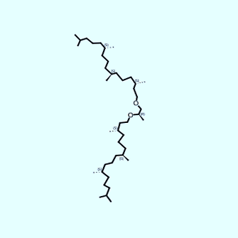 CC(C)CCC[C@H](C)CCC[C@H](C)CCC[C@H](C)CCOC[C@@H](C)OCC[C@@H](C)CCC[C@@H](C)CCC[C@@H](C)CCCC(C)C